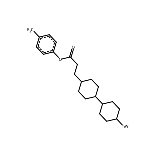 CCCC1CCC(C2CCC(CCC(=O)Oc3ccc(C(F)(F)F)cc3)CC2)CC1